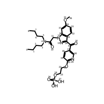 CCCCN(CCCC)C(=O)Cn1nc(C(=O)c2ccc(OCCOP(=O)(O)O)nc2)c2ccc(OC)cc21